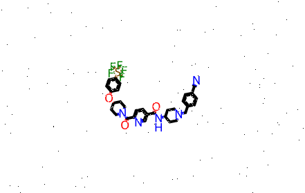 N#Cc1ccc(CN2CCC(NC(=O)c3ccc(C(=O)N4CCC(Oc5ccc(S(F)(F)(F)(F)F)cc5)CC4)nc3)CC2)cc1